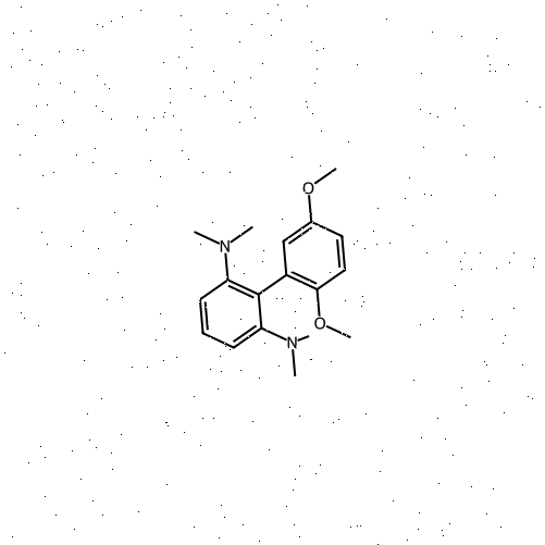 COc1ccc(OC)c(-c2c(N(C)C)cccc2N(C)C)c1